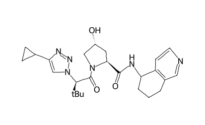 CC(C)(C)[C@H](C(=O)N1C[C@H](O)C[C@H]1C(=O)NC1CCCc2cnccc21)n1cc(C2CC2)nn1